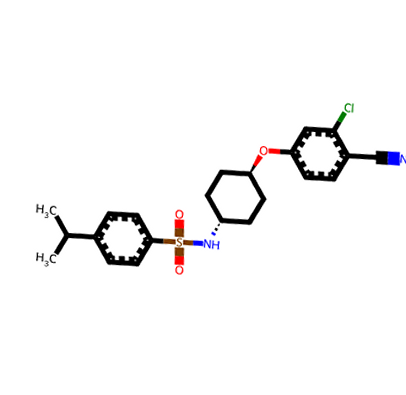 CC(C)c1ccc(S(=O)(=O)N[C@H]2CC[C@H](Oc3ccc(C#N)c(Cl)c3)CC2)cc1